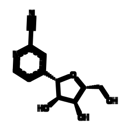 N#Cc1cc([C@@H]2O[C@H](CO)[C@@H](O)[C@H]2O)ccn1